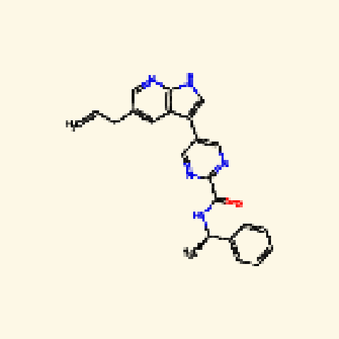 C=CCc1cnc2[nH]cc(-c3cnc(C(=O)N[C@H](C)c4ccccc4)nc3)c2c1